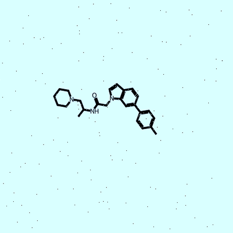 Cc1ccc(-c2ccc3ccn(CC(=O)NC(C)CN4CCCCC4)c3c2)cc1